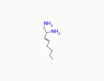 CCCCC=CC(N)CN